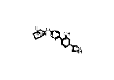 Oc1cc(-c2cn[nH]c2)ccc1-c1ccc(O[C@H]2CC3CC[C@H](C2)N3)nn1